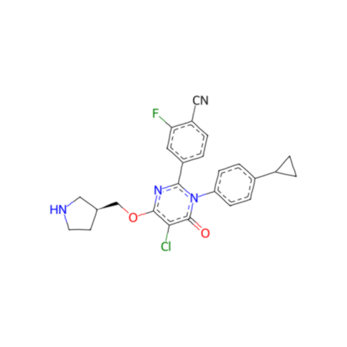 N#Cc1ccc(-c2nc(OC[C@H]3CCNC3)c(Cl)c(=O)n2-c2ccc(C3CC3)cc2)cc1F